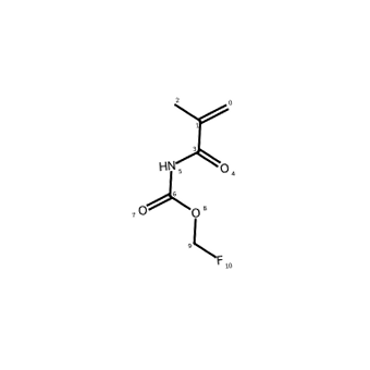 C=C(C)C(=O)NC(=O)OCF